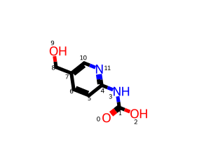 O=C(O)Nc1ccc(CO)cn1